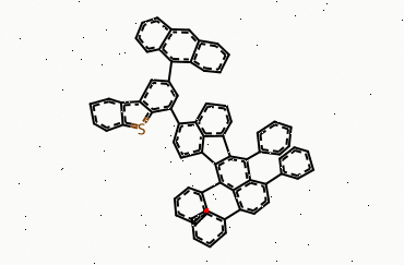 c1ccc(-c2ccc(-c3ccccc3)c3c(-c4ccccc4)c4c(c(-c5ccccc5)c23)-c2cccc3c(-c5cc(-c6c7ccccc7cc7ccccc67)cc6c5sc5ccccc56)ccc-4c23)cc1